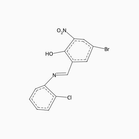 O=[N+]([O-])c1cc(Br)cc(/C=N/c2ccccc2Cl)c1O